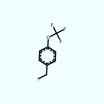 FC(F)(F)Oc1ccc(CI)cc1